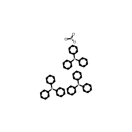 [Cl][Ir]([Cl])[Cl].c1ccc(P(c2ccccc2)c2ccccc2)cc1.c1ccc(P(c2ccccc2)c2ccccc2)cc1.c1ccc(P(c2ccccc2)c2ccccc2)cc1